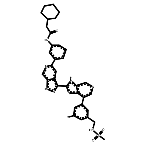 CS(=O)(=O)NCc1cc(F)cc(-c2cncc3[nH]c(-c4n[nH]c5cnc(-c6cccc(NC(=O)CC7CCCCC7)c6)cc45)nc23)c1